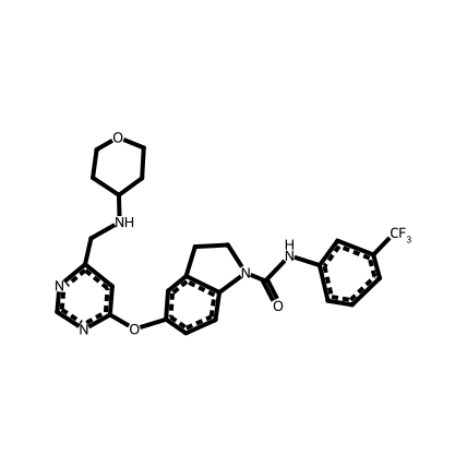 O=C(Nc1cccc(C(F)(F)F)c1)N1CCc2cc(Oc3cc(CNC4CCOCC4)ncn3)ccc21